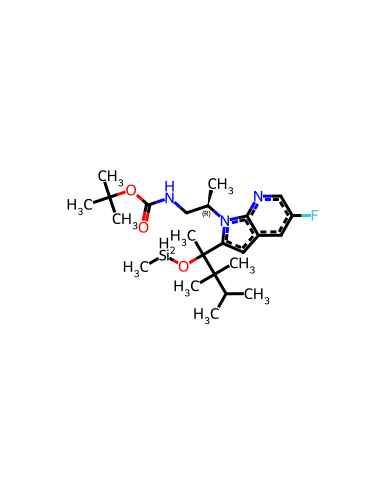 C[SiH2]OC(C)(c1cc2cc(F)cnc2n1[C@H](C)CNC(=O)OC(C)(C)C)C(C)(C)C(C)C